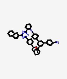 N#Cc1ccc(-c2cc(-c3ccc(C#N)cc3)cc(C34CC5CC(CC(c6ccc(-c7nc(-c8ccccc8)nc(-c8ccc9ccccc9c8)n7)cc6)(C5)C3)C4)c2)cc1